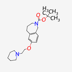 CC(C)(C)OC(=O)N1CCCc2cc(OCCN3CCCCC3)ccc2C1